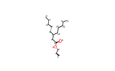 C=CCOC(=O)CC(CCCCC)CCCCC